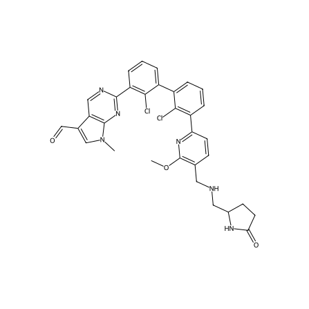 COc1nc(-c2cccc(-c3cccc(-c4ncc5c(C=O)cn(C)c5n4)c3Cl)c2Cl)ccc1CNCC1CCC(=O)N1